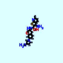 Cc1ccc2c(N)c(C(O)N[C@H]3COc4cc(N5CC[C@@H](N)C5)ccc4C3)sc2n1